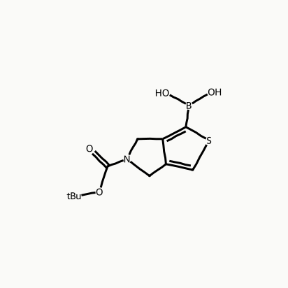 CC(C)(C)OC(=O)N1Cc2csc(B(O)O)c2C1